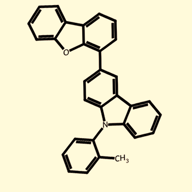 Cc1ccccc1-n1c2ccccc2c2cc(-c3cccc4c3oc3ccccc34)ccc21